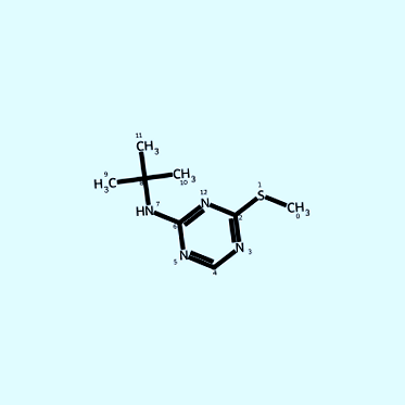 CSc1ncnc(NC(C)(C)C)n1